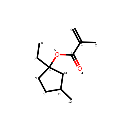 C=C(C)C(=O)OC1(CC)CCC(C)C1